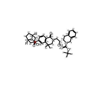 CC(C)(C)OC(=O)N1Cc2ccccc2C[C@H]1C(O)CN1CC(C)(C)c2cc(C(=O)N3[C@@H]4CC[C@H]3CC(O)C4)ccc2C1=O